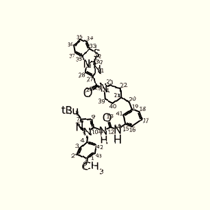 Cc1ccc(-n2nc(C(C)(C)C)cc2NC(=O)Nc2cccc(CC3CCN(C(=O)c4cn5c(n4)sc4ccccc45)CC3)c2)cc1